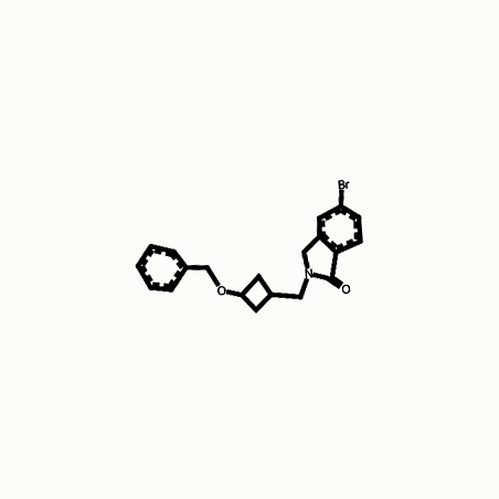 O=C1c2ccc(Br)cc2CN1CC1CC(OCc2ccccc2)C1